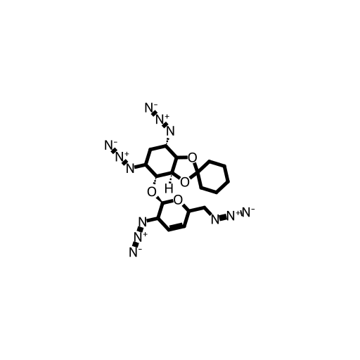 [N-]=[N+]=NCC1C=CC(N=[N+]=[N-])[C@@H](O[C@@H]2C(N=[N+]=[N-])C[C@H](N=[N+]=[N-])C3OC4(CCCCC4)O[C@H]32)O1